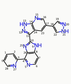 c1ccc(-c2nccc3[nH]c(-c4n[nH]c5ncc(-c6cn[nH]c6)cc45)nc23)nc1